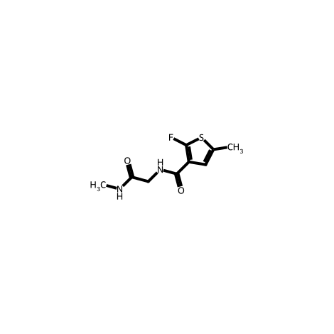 CNC(=O)CNC(=O)c1cc(C)sc1F